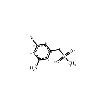 CS(=O)(=O)Cc1cc(N)nc(F)c1